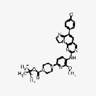 COc1nc(N2CCN(C(=O)OC(C)(C)C)CC2)ccc1Nc1ncc2c(n1)N1CCN=C1C(c1ccc(Cl)cc1)=C2